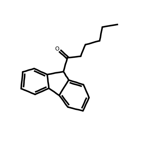 CCCCCC(=O)C1c2ccccc2-c2ccccc21